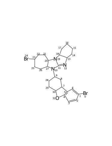 Brc1ccc2c(c1)C1CC(N3C4=NC5CCCCC5N4C4CCC(Br)CCC43)CCC1O2